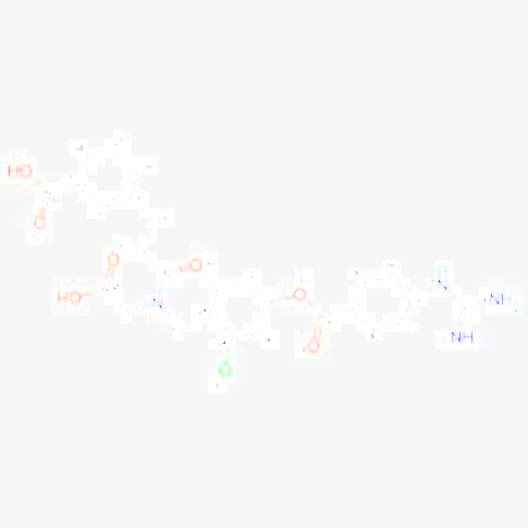 N=C(N)Nc1ccc(C(=O)Oc2ccc(CN(CC(=O)O)C(=O)CCc3cccc(C(=O)O)c3)c(Cl)c2)cc1